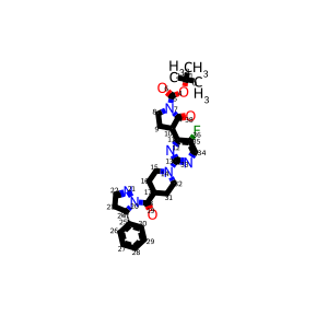 CC(C)(C)OC(=O)N1CCC(c2nc(N3CCC(C(=O)N4N=CC[C@H]4c4ccccc4)CC3)ncc2F)C1=O